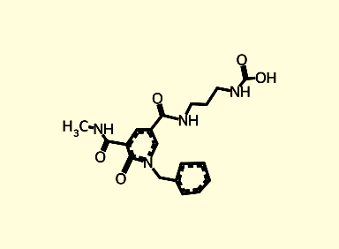 CNC(=O)c1cc(C(=O)NCCCNC(=O)O)cn(Cc2ccccc2)c1=O